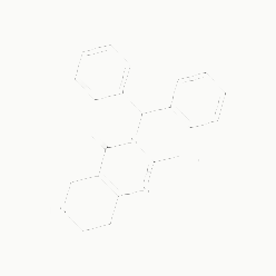 Cc1nc2c(c(=O)n1C(c1ccccc1)c1ccccc1)CNCC2